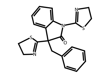 O=C1N(C2=NCCS2)c2ccccc2C1(Cc1ccccc1)C1=NCCS1